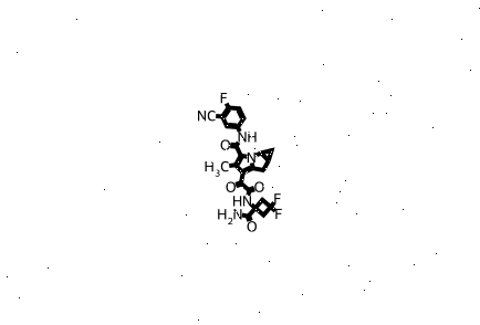 Cc1c(C(=O)C(=O)NC2(C(N)=O)CC(F)(F)C2)c2n(c1C(=O)Nc1ccc(F)c(C#N)c1)C1CC1C2